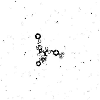 CC(OP(=O)(Cl)OC1CCCC1)=C(C(=O)OCc1ccc([N+](=O)[O-])cc1)N1C(=O)C2N=C(COc3ccccc3)SC21